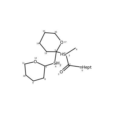 CCCCCCCC(=O)[SiH](C)C1([SiH2]C2CCCCO2)CCCCO1